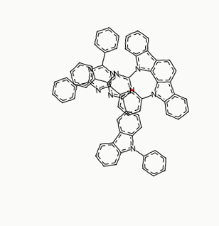 c1ccc(-c2nc(-c3ccccc3)nc(-c3cccc(-n4c5ccccc5c5ccc6c7ccccc7n(-c7nc(-c8ccccc8)nc(-c8ccc9c(c8)c8ccccc8n9-c8ccccc8)n7)c6c54)c3)n2)cc1